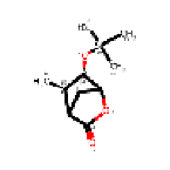 C[C@@H]1C2CC(OC2=O)[C@@H]1O[Si](C)(C)C(C)(C)C